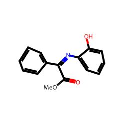 COC(=O)C(=Nc1ccccc1O)c1ccccc1